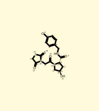 O=C(NCc1ccc(Cl)cc1)[C@@H]1C[C@@H](O)CN1C(=O)CN1C(=O)CSC1=S